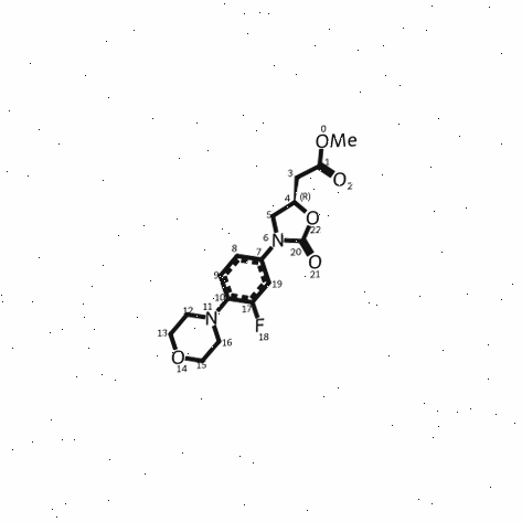 COC(=O)C[C@@H]1CN(c2ccc(N3CCOCC3)c(F)c2)C(=O)O1